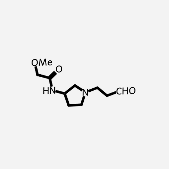 COCC(=O)NC1CCN(CCC=O)C1